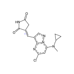 CN(c1cc(Cl)nc2c(/C=C3\CC(=O)NC3=O)cnn12)C1CC1